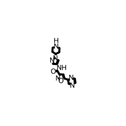 O=C(Nc1cnn(C2CCNCC2)c1)c1cc(-c2cnccn2)on1